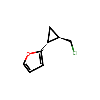 ClC[C@@H]1C[C@H]1c1ccco1